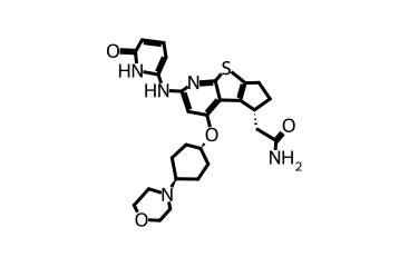 NC(=O)C[C@H]1CCc2sc3nc(Nc4cccc(=O)[nH]4)cc(O[C@H]4CC[C@H](N5CCOCC5)CC4)c3c21